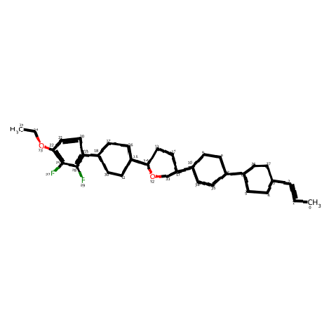 C/C=C/C1CCC(C2CCC(C3CCC(C4CCC(c5ccc(OCC)c(F)c5F)CC4)OC3)CC2)CC1